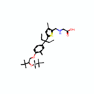 CCC(CC)(c1ccc(OCC(O[Si](C)(C)C(C)(C)C)C(C)(C)C)c(C)c1)c1cc(C)c(CNCC(=O)O)s1